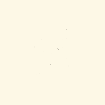 O=C(O)C(F)(F)F.O=C(O)COc1ccc(C(=O)CNC(=O)c2cc3c(s2)CCNC3)c(OCC(=O)O)c1